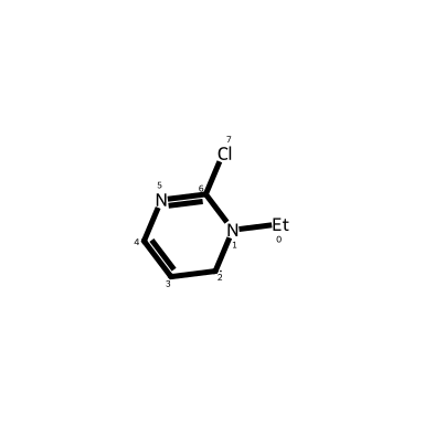 CCN1[CH]C=CN=C1Cl